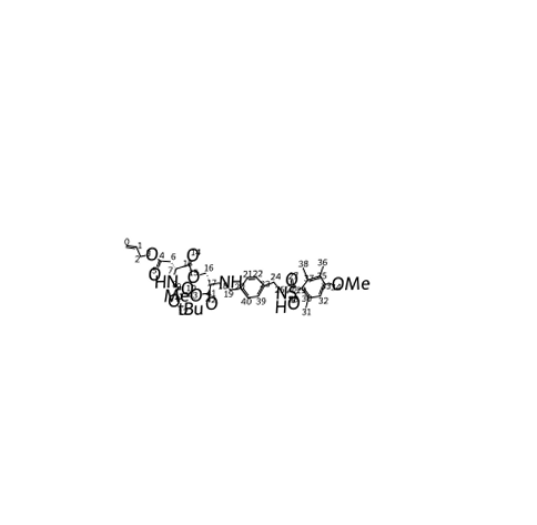 C=CCOC(=O)C[C@@H](NC(=O)OC(C)(C)C)C(=O)OC[C@H](NCc1ccc(CNS(=O)(=O)c2c(C)cc(OC)c(C)c2C)cc1)C(=O)OC